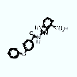 O=C(Nc1nc2c(C(=O)O)cccc2[nH]1)c1ccc(Oc2ccccc2)cc1